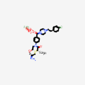 CC(C)OCCN(C(=O)[C@@H](SCCN)C(=O)O)c1ccc(C(=O)N2CCN(CCc3ccc(Cl)cc3)CC2)cc1.Cl.O.O.O